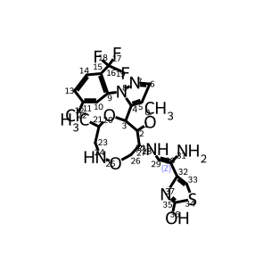 COC1C(c2ccnn2-c2cc(Cl)ccc2C(F)(F)F)OC(C)CNOC[C@H]1N/C=C(\N)c1csc(O)n1